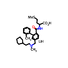 CSCCC(NC(=O)c1ccc(CN(C)CCC2CCCCC2)cc1-c1ccccc1C)C(=O)O.[LiH]